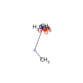 CCCCCCCC/C=C\CCCCCCCCCCCCCC(=O)C(O)(CC(=O)[O-])C[N+](C)(C)C